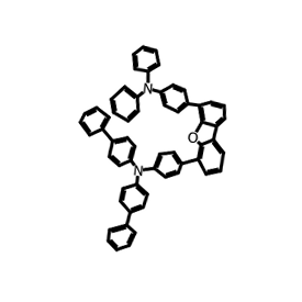 c1ccc(-c2ccc(N(c3ccc(-c4ccccc4)cc3)c3ccc(-c4cccc5c4oc4c(-c6ccc(N(c7ccccc7)c7ccccc7)cc6)cccc45)cc3)cc2)cc1